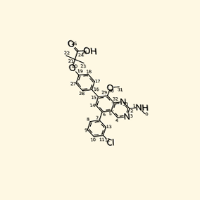 CNc1ncc2c(-c3cccc(Cl)c3)cc(-c3ccc(OC(C)(C)C(=O)O)cc3)c(OC)c2n1